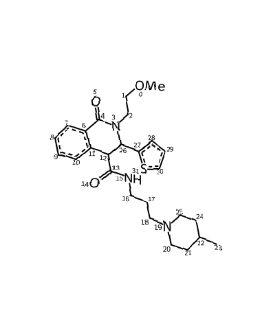 COCCN1C(=O)c2ccccc2C(C(=O)NCCCN2CCC(C)CC2)C1c1cccs1